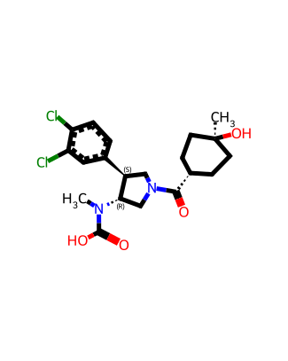 CN(C(=O)O)[C@H]1CN(C(=O)[C@H]2CC[C@](C)(O)CC2)C[C@@H]1c1ccc(Cl)c(Cl)c1